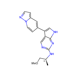 COC[C@H](C)Nc1ncc2c(-c3ccn4nccc4c3)c[nH]c2n1